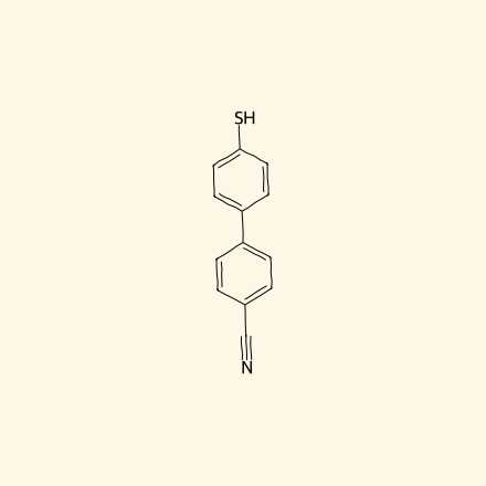 N#Cc1ccc(-c2ccc(S)cc2)cc1